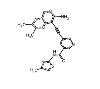 Cc1csc(NC(=O)c2cncc(C#Cc3c(N)ncc4nc(C)c(C)nc34)c2)n1